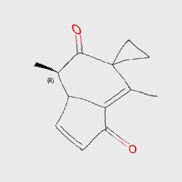 CC1=C2C(=O)C=CC2[C@@H](C)C(=O)C12CC2